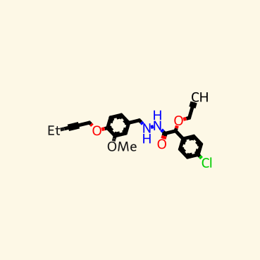 C#CCOC(C(=O)NNCc1ccc(OCC#CCC)c(OC)c1)c1ccc(Cl)cc1